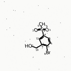 CS(=O)(=O)c1ccc(Br)c(CO)c1